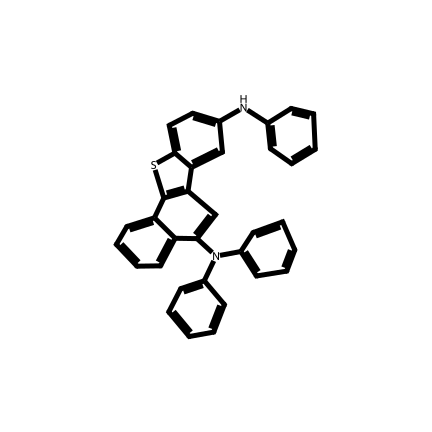 c1ccc(Nc2ccc3sc4c5ccccc5c(N(c5ccccc5)c5ccccc5)cc4c3c2)cc1